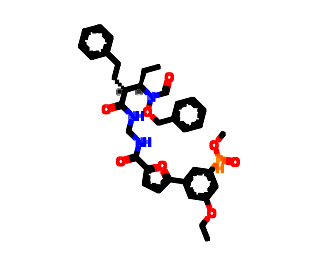 CCOc1cc(-c2ccc(C(=O)NCNC(=O)[C@H](CCc3ccccc3)[C@@H](CC)N(C=O)OCc3ccccc3)o2)cc([PH](=O)OC)c1